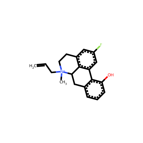 C=CC[N+]1(C)CCc2cc(F)cc3c2C1Cc1cccc(O)c1-3